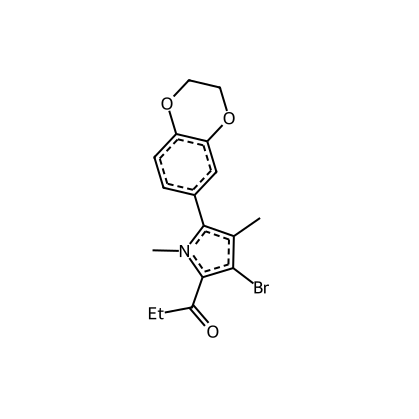 CCC(=O)c1c(Br)c(C)c(-c2ccc3c(c2)OCCO3)n1C